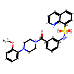 COc1ccccc1N1CCN(C(=O)c2cccc(NS(=O)(=O)c3cccc4cccnc34)c2)CC1